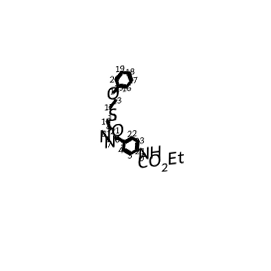 CCOC(=O)Nc1ccc(-c2nnc(CSCCOc3ccccc3)o2)cc1